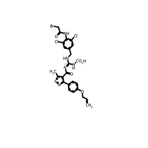 C=CCOc1ccc(-c2nsc(C)c2C(=O)/N=C(/NCc2cc(Cl)c(NC(=O)CBr)c(Cl)c2)NC(=O)O)cc1